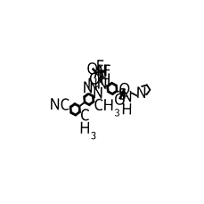 Cc1ccc(C#N)cc1-c1cc(C)c2nc(Nc3ccc(S(=O)(=O)NCCN4CCCC4)cc3)nnc2c1.O=C(O)C(F)(F)F